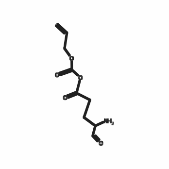 C=CCOC(=O)OC(=O)CCC(N)C=O